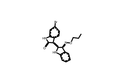 CCCO/N=C1/C(=C2/C(=O)Nc3cc(Br)ccc32)Nc2ccccc21